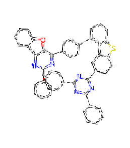 c1ccc(-c2nc(-c3ccccc3)nc(-c3ccc4sc5cccc(-c6ccc(-c7nc(-c8ccccc8)nc8c7oc7ccccc78)cc6)c5c4c3)n2)cc1